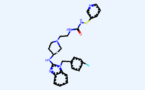 O=C(NCCN1CCC(Nc2nc3ccccc3n2Cc2ccc(F)cc2)CC1)NSc1cccnc1